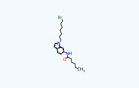 CCCCCC(=O)Nc1ccc2ccn(CCCCCCCBr)c2c1